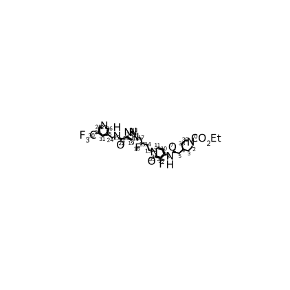 CCOC(=O)N1CCC(CC(=O)Nc2ccn(CCC(F)Cn3cc(C(=O)NCc4cncc(C(F)(F)F)c4)nn3)c(=O)c2F)CC1